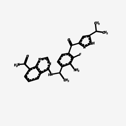 CC(C)c1cc(C(=O)c2ccc(C(C)Nc3ncnc4c(C(N)=O)cccc34)c(N)c2F)n[nH]1